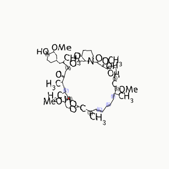 COC1CC(CC(C)[C@@H]2CC(=O)C(C)/C=C(\C)[C@H]3OC(C[C@H](C)/C=C/C=C/C=C(\C)[C@@H](OC)C[C@@H]4CCC(C)C(O)(O4)C(=O)C(=O)N4CCCCC4C(=O)O2)OCC3OC)CC[C@H]1O